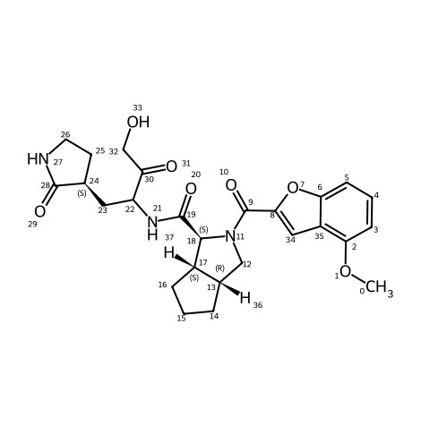 COc1cccc2oc(C(=O)N3C[C@@H]4CCC[C@@H]4[C@H]3C(=O)NC(C[C@@H]3CCNC3=O)C(=O)CO)cc12